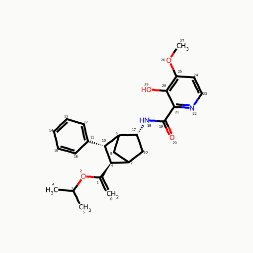 C=C(OC(C)C)[C@@H]1C2CC([C@H]1c1ccccc1)[C@H](NC(=O)c1nccc(OC)c1O)C2